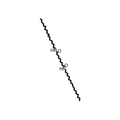 CCCCCCCCCCCCCCCCCCNC(=O)CCCCCCCC(=O)NCCCCCCCCCCCCCCCCCC